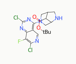 CC(C)(C)OC(=O)C1C2CNC1CN(c1nc(Cl)nc3c(F)c(Cl)ncc13)C2